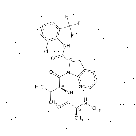 CN[C@@H](C)C(=O)N[C@H](C(=O)N1c2ncccc2C[C@H]1C(=O)Nc1c(Cl)cccc1C(F)(F)F)C(C)C